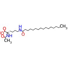 CCCCCCCCCCCCCCCC(=O)NCCCC[C@H](NC(C)=O)C(=O)O